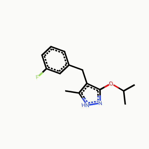 Cc1[nH]nc(OC(C)C)c1Cc1cccc(F)c1